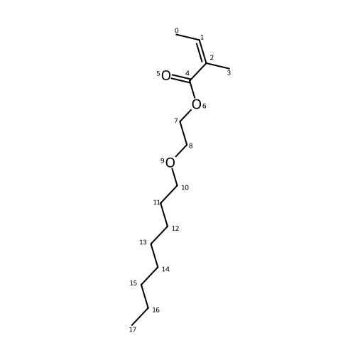 CC=C(C)C(=O)OCCOCCCCCCCC